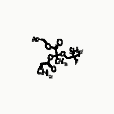 C=CC(=O)OC(C)(OCC(F)(F)S)C(=O)OCC(C)=O